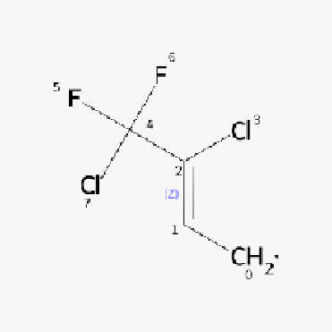 [CH2]/C=C(\Cl)C(F)(F)Cl